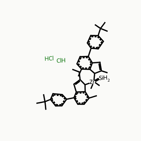 CCC1=Cc2c(-c3ccc(C(C)(C)C)cc3)ccc(C)c2[CH]1[Zr]([CH3])([CH3])(=[SiH2])[CH]1C(C)=Cc2c(-c3ccc(C(C)(C)C)cc3)ccc(C)c21.Cl.Cl